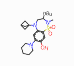 CCCCC1CN(C23CC(C2)C3)c2cc(N3CCCCC3)c(O)cc2S(=O)(=O)N1C